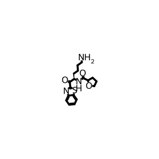 NCCCC[C@@H](NC(=O)C1CCCO1)C(=O)c1nc2ccccc2s1